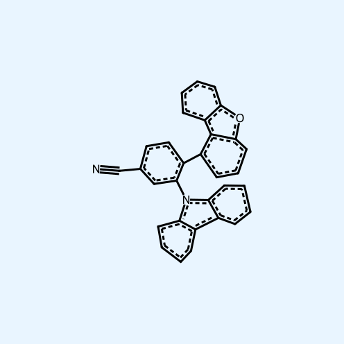 N#Cc1ccc(-c2cccc3oc4ccccc4c23)c(-n2c3ccccc3c3ccccc32)c1